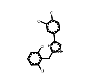 Clc1ccc(-c2c[nH]c(Cc3c(Cl)cccc3Cl)n2)cc1Cl